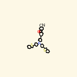 N#CC1CCc2c(oc3c2CCC(C2C=CC(N(C4CCC(C5CC6=C(CCC=C6)S5)CC4)C4CCC(C5CC6=C(CCCC6)S5)CC4)CC2)C3)C1